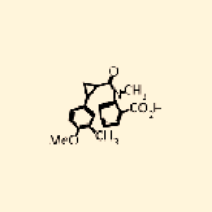 COc1ccc(C2CC2C(=O)N(C)c2ccccc2C(=O)O)cc1C